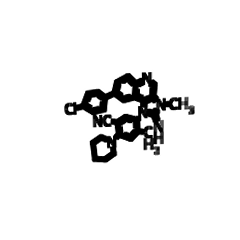 Cc1cc(N2CCCCC2)c(C#N)cc1-n1c(=N)n(C)c2cnc3ccc(-c4ccc(Cl)cc4)cc3c21